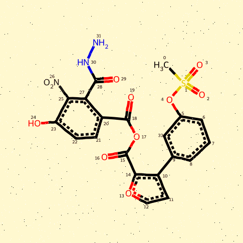 CS(=O)(=O)Oc1cccc(-c2ccoc2C(=O)OC(=O)c2ccc(O)c([N+](=O)[O-])c2C(=O)NN)c1